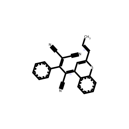 C/C=C/C1=CC(=C(/C#N)C(=C(C#N)C#N)c2ccccc2)/c2ccccc2S1